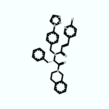 O=C([C@H](Cc1ccccc1)N(Cc1ccc(-n2ccnn2)cc1)C(=O)C=Cc1ccc(Cl)nc1)N1CCc2ccccc2C1